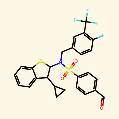 O=Cc1ccc(S(=O)(=O)N(Cc2ccc(F)c(C(F)(F)F)c2)C2Sc3ccccc3C2C2CC2)cc1